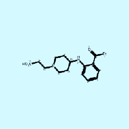 CCC(=O)c1ccccc1NC1CCN(CCC(=O)O)CC1